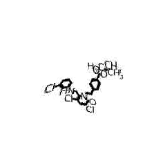 CC(C)(C)OC(=O)c1ccc(CCn2c(CNc3cccc(Cl)c3)c(Cl)cc(Cl)c2=O)cc1